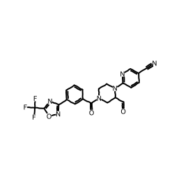 N#Cc1ccc(N2CCN(C(=O)c3cccc(-c4noc(C(F)(F)F)n4)c3)CC2C=O)nc1